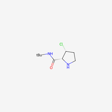 CC(C)(C)NC(=O)[C@H]1NCC[C@H]1Cl